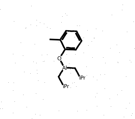 Cc1ccccc1[O][Al]([CH2]C(C)C)[CH2]C(C)C